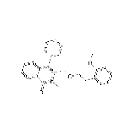 COc1ccccc1CCOCc1c(-c2ccccc2)c2ccccc2c(=O)n1C